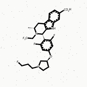 C[C@@H]1Cc2c([nH]c3cc(C(=O)O)ccc23)[C@H](c2c(F)cc(O[C@H]3CCN(CCCF)C3)cc2F)N1CC(F)(F)F